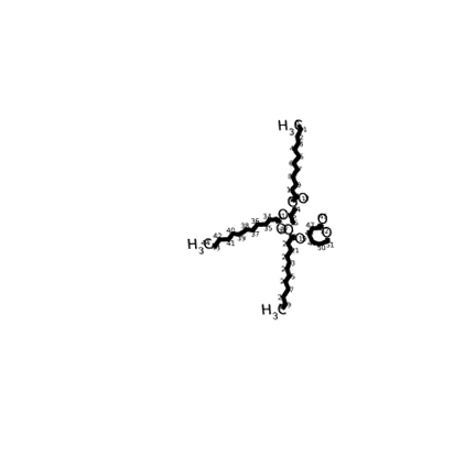 CCCCCCCCCCCC(=O)OCC(COC(=O)CCCCCCCCCCC)OC(=O)CCCCCCCCCCC.O=C1CCCCCO1